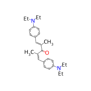 CCN(CC)c1ccc(C=C(C)C(=O)C(C)=Cc2ccc(N(CC)CC)cc2)cc1